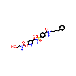 O=C(NCCO)Oc1ccc(C(=O)NS(=O)(=O)c2ccc(C(=O)NCCCCc3ccccc3)cc2)cn1